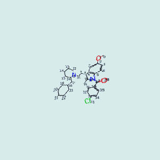 COc1ccc2c(c1)c(CCN1CCCCC1CC1CCCCC1)c(C)n2C(=O)c1ccc(Cl)cc1